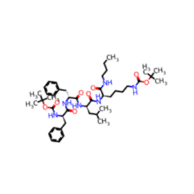 CCCCNC(=O)[C@@H](CCCCNC(=O)OC(C)(C)C)NC(=O)[C@@H](CC(C)C)NC(=O)[C@@H](Cc1ccccc1)NC(=O)[C@@H](Cc1ccccc1)NC(=O)OC(C)(C)C